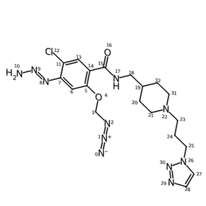 [N-]=[N+]=NCOc1cc(N=NN)c(Cl)cc1C(=O)NCC1CCN(CCCn2ccnn2)CC1